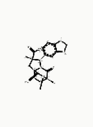 COC(=O)[C@@]1(C)C[C@@]23SS[C@@](C)(C(=O)N2[C@H]1c1ccc2c(c1)OCO2)N(C)C3=O